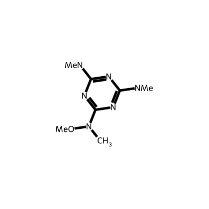 CNc1nc(NC)nc(N(C)OC)n1